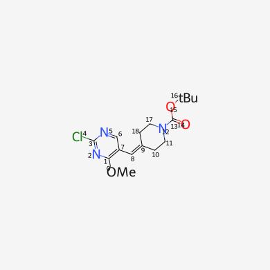 COc1nc(Cl)ncc1C=C1CCN(C(=O)OC(C)(C)C)CC1